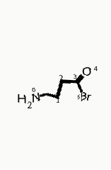 NCCC(=O)Br